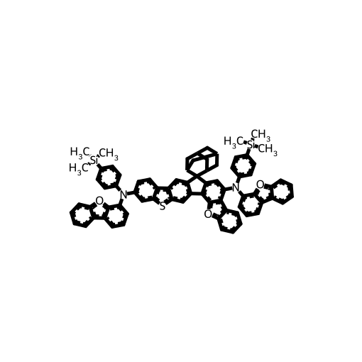 C[Si](C)(C)c1ccc(N(c2ccc3c(c2)sc2cc4c(cc23)C2(c3cc(N(c5ccc([Si](C)(C)C)cc5)c5cccc6c5oc5ccccc56)c5c(oc6ccccc65)c3-4)C3CC4CC(C3)CC2C4)c2cccc3c2oc2ccccc23)cc1